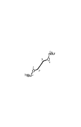 CCC[CH]OCCOCCCC